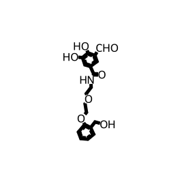 O=Cc1cc(C(=O)NCCOCCOc2ccccc2CO)cc(O)c1O